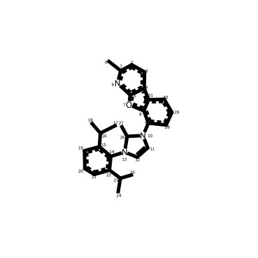 Cc1ccc2c(n1)oc1c(N3C=CN(c4c(C(C)C)cccc4C(C)C)C3C)cccc12